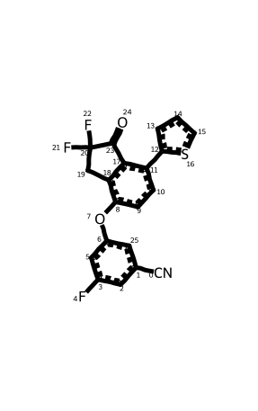 N#Cc1cc(F)cc(Oc2ccc(-c3cccs3)c3c2CC(F)(F)C3=O)c1